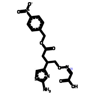 Nc1nc(C(CO/N=C\C(=O)O)CC(=O)OCc2ccc([N+](=O)[O-])cc2)cs1